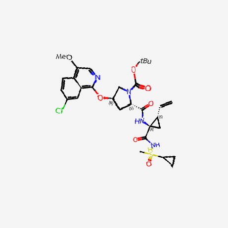 C=C[C@@H]1C[C@]1(NC(=O)[C@@H]1C[C@@H](Oc2ncc(OC)c3ccc(Cl)cc23)CN1C(=O)OC(C)(C)C)C(=O)N[SH](C)(=O)C1CC1